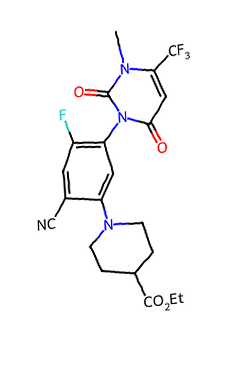 CCOC(=O)C1CCN(c2cc(-n3c(=O)cc(C(F)(F)F)n(C)c3=O)c(F)cc2C#N)CC1